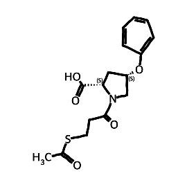 CC(=O)SCCC(=O)N1C[C@@H](Oc2ccccc2)C[C@H]1C(=O)O